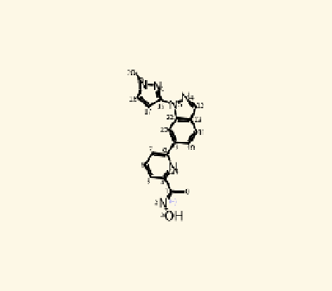 C/C(=N\O)c1cccc(-c2ccc3cnn(-c4ccn(C)n4)c3c2)n1